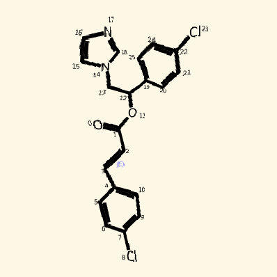 O=C(/C=C/c1ccc(Cl)cc1)OC(Cn1ccnc1)c1ccc(Cl)cc1